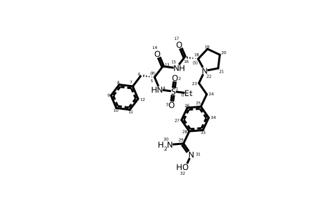 CCS(=O)(=O)N[C@H](Cc1ccccc1)C(=O)NC(=O)[C@@H]1CCCN1CCc1ccc(C(N)=NO)cc1